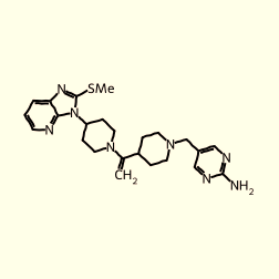 C=C(C1CCN(Cc2cnc(N)nc2)CC1)N1CCC(n2c(SC)nc3cccnc32)CC1